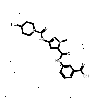 Cn1nc(NC(=O)N2CCC(O)CC2)cc1C(=O)Nc1cccc(C(=O)O)c1